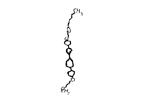 CCCCCCCOCCOC1CCC(c2ccc(C3CCC(C4CCC(OCCCCOC)CC4)CC3)cc2)CC1